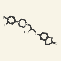 O=C1CCc2cc(OCC(O)CN3CCN(c4ccc(F)c(F)c4)CC3)ccc2N1